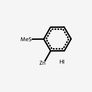 CSc1cccc[c]1[Zn].I